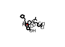 CC(C)CN(C(=O)Cc1ccc(Cl)c(Cl)c1)C1CC[C@@]2(O)[C@H]3Cc4ccc(O)c5c4[C@@]2(CCN3CCc2ccccc2)C1O5